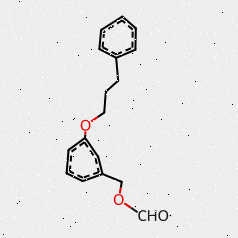 O=[C]OCc1cccc(OCCCc2ccccc2)c1